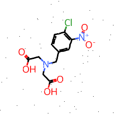 O=C(O)CN(CC(=O)O)Cc1ccc(Cl)c([N+](=O)[O-])c1